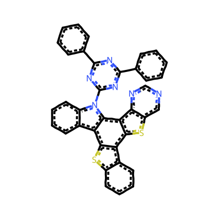 c1ccc(-c2nc(-c3ccccc3)nc(-n3c4ccccc4c4c5sc6ccccc6c5c5sc6cncnc6c5c43)n2)cc1